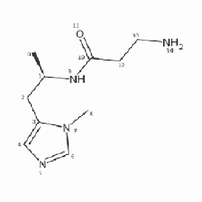 C[C@H](Cc1cncn1C)NC(=O)CCN